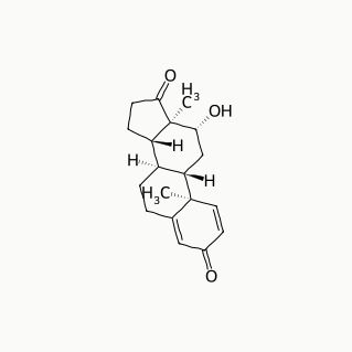 C[C@@]12C(=O)CC[C@H]1[C@@H]1CCC3=CC(=O)C=C[C@]3(C)[C@H]1C[C@H]2O